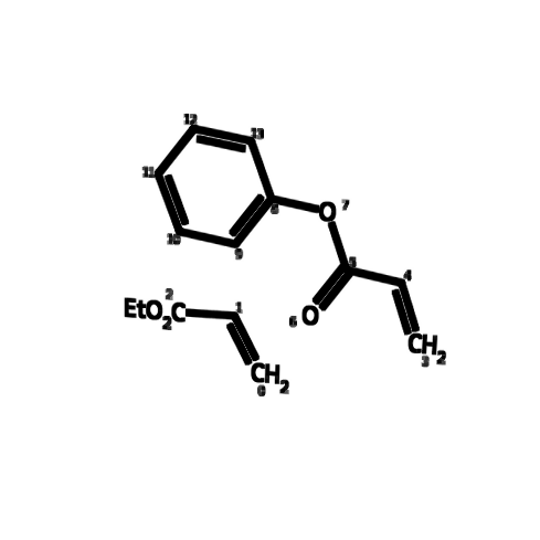 C=CC(=O)OCC.C=CC(=O)Oc1ccccc1